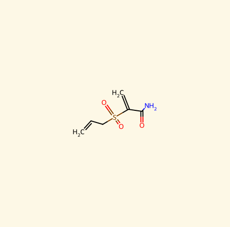 C=CCS(=O)(=O)C(=C)C(N)=O